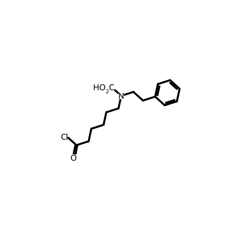 O=C(Cl)CCCCCN(CCc1ccccc1)C(=O)O